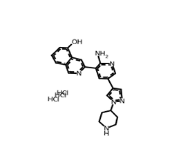 Cl.Cl.Cl.Nc1ncc(-c2cnn(C3CCNCC3)c2)cc1-c1cc2c(O)cccc2cn1